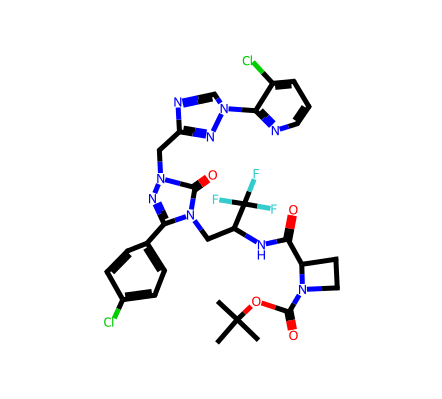 CC(C)(C)OC(=O)N1CCC1C(=O)NC(Cn1c(-c2ccc(Cl)cc2)nn(Cc2ncn(-c3ncccc3Cl)n2)c1=O)C(F)(F)F